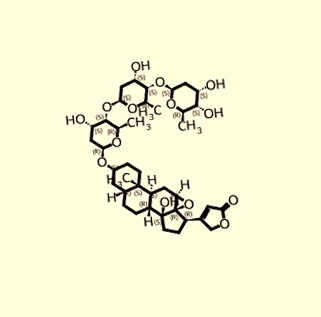 C[C@H]1O[C@@H](O[C@H]2[C@@H](O)C[C@H](O[C@H]3[C@@H](O)C[C@H](O[C@H]4CC[C@@]5(C)[C@H](CC[C@@H]6[C@@H]5C[C@H]5O[C@]57[C@@H](C5=CC(=O)OC5)CC[C@]67O)C4)O[C@@H]3C)O[C@@H]2C)C[C@H](O)[C@@H]1O